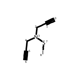 C#CCN(CC#C)SI